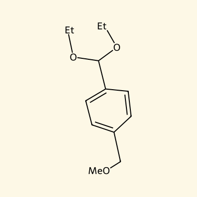 CCOC(OCC)c1ccc(COC)cc1